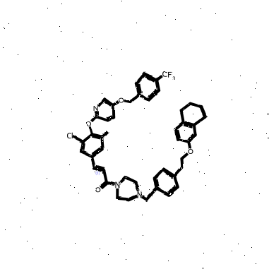 Cc1cc(/C=C/C(=O)N2CCN(Cc3ccc(CCOc4ccc5c(c4)CCCC5)cc3)CC2)cc(Cl)c1Oc1ccc(OCc2ccc(C(F)(F)F)cc2)cn1